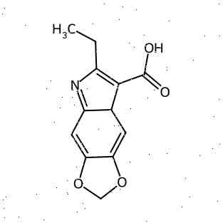 CCC1=C(C(=O)O)C2C=C3OCOC3=CC2=N1